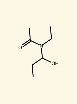 CCC(O)N(CC)C(C)=O